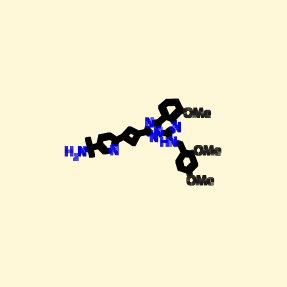 COc1ccc(CNc2nc3c(OC)cccc3c3nc(C4CC(c5ccc(C(C)(C)N)cn5)C4)nn23)c(OC)c1